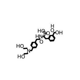 O=C(Cc1ccc(CN(CCO)CCO)cc1)N[C@H]1Cc2cccc(C(O)O)c2OB1O